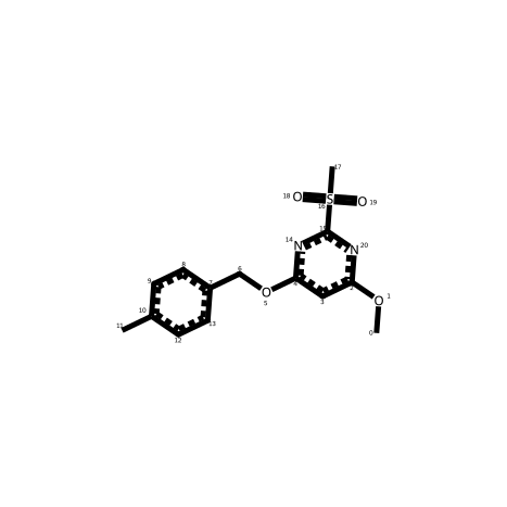 COc1cc(OCc2ccc(C)cc2)nc(S(C)(=O)=O)n1